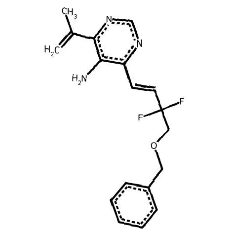 C=C(C)c1ncnc(C=CC(F)(F)COCc2ccccc2)c1N